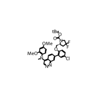 COc1ccc(N(C)c2cnnc3cc(-c4cc(Cl)ccc4OC[C@@H]4CC(F)(F)CN4C(=O)OC(C)(C)C)ccc23)c(OC)c1